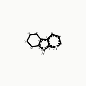 c1cnc2[nH]c3c(c2c1)CCCC3